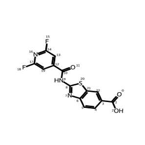 O=C(O)c1ccc2nc(NC(=O)c3cc(F)nc(F)c3)sc2c1